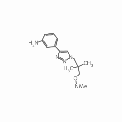 CNOCC(C)(C)Cn1cc(-c2cccc(N)c2)nn1